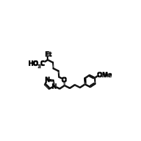 CCC(CCCCOC(CCCc1ccc(OC)cc1)Cn1ccnc1)C(=O)O